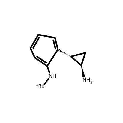 CC(C)(C)Nc1ccccc1[C@@H]1C[C@H]1N